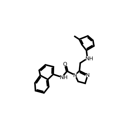 Cc1cccc(NCC2=NCCN2C(=O)Nc2cccc3ccccc23)c1